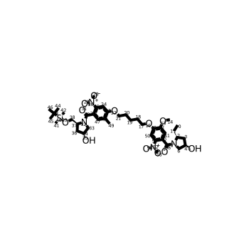 CC[C@@H]1C[C@@H](O)CN1C(=O)c1cc(OC)c(OCCCCCOc2cc([N+](=O)[O-])c(C(=O)N3C[C@H](O)C[C@H]3CO[Si](C)(C)C(C)(C)C)cc2C)cc1[N+](=O)[O-]